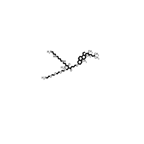 CC(C)CCC[C@@H](C)[C@H]1CCC2C3CC=C4C[C@@H](OCCCC(=O)C(COCCOCCOCCOCCN)C(=O)C(N)CCNCCCCNCCCN)CC[C@]4(C)C3CC[C@@]21C